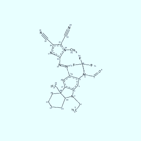 CCN1c2cc(N(C=O)C(F)(F)F)c(N=Nc3nc(C#N)c(C#N)n3C)cc2C2(C)CCCCC12